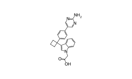 Nc1ncc(-c2ccc(C3(c4cn(CC(=O)O)c5ccccc45)CCC3)cc2)cn1